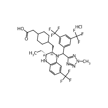 CC[C@H]1Nc2ccc(C(F)(F)F)cc2N(C(c2cc(C(F)(F)F)cc(C(F)(F)F)c2)c2nnn(C)n2)[C@@H]1CC1CCC(CC(=O)O)CC1.Cl